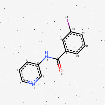 O=C(Nc1cccnc1)c1cccc(I)c1